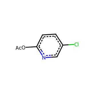 CC(=O)Oc1ccc(Cl)cn1